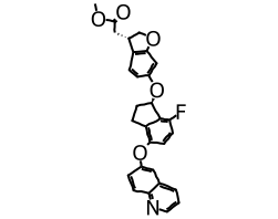 COC(=O)C[C@@H]1COc2cc(O[C@@H]3CCc4c(Oc5ccc6ncccc6c5)ccc(F)c43)ccc21